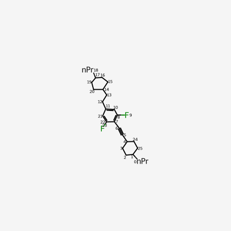 CCCC1CCC(C#Cc2c(F)cc(CCC3CCC(CCC)CC3)cc2F)CC1